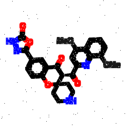 COc1cc(C(=O)[C@H]2C(=O)c3cc(-c4n[nH]c(=O)o4)ccc3OC23CCNCC3)nc2c(OC)cccc12